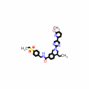 CCC1CN(c2ncc(-c3cccc(OC)n3)cn2)Cc2cc(C(=O)NCc3ccc(S(=O)(=O)CC)cc3)ccc21